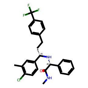 CNC(=O)[C@H](N[C@@H](CCc1ccc(C(F)(F)F)cc1)c1ccc(Cl)c(C)c1)c1ccccc1